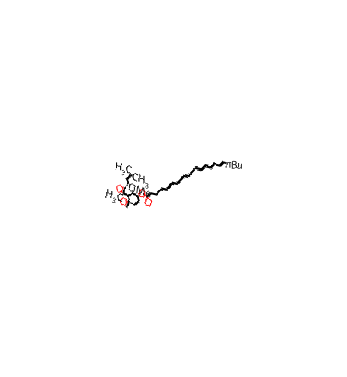 CCCC/C=C/C=C/C=C/CC/C=C/C=C/CCCC(=O)O[C@@H]1CC[C@]2(CO2)[C@@H]([C@@]2(C)O[C@@H]2CC=C(C)C)[C@@H]1OC